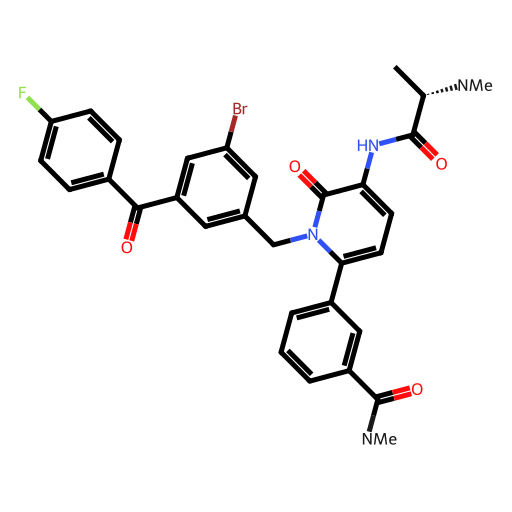 CNC(=O)c1cccc(-c2ccc(NC(=O)[C@H](C)NC)c(=O)n2Cc2cc(Br)cc(C(=O)c3ccc(F)cc3)c2)c1